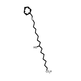 O=C(O)CCCCCCCC(O)CCCCCCCOCc1ccccc1